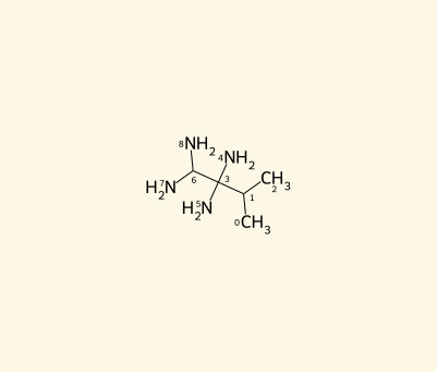 CC(C)C(N)(N)C(N)N